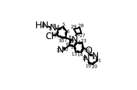 CN/C=N/c1ccc(-c2c(C#N)c3ccc(Oc4ncccn4)cc3n2C2CCC2)cc1Cl